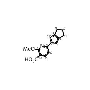 COc1nc(-c2cc3c(s2)CCC3)ccc1C(=O)O